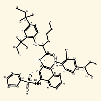 CCCCC(Oc1ccc(C(C)(C)CC)cc1C(C)(C)CC)C(=O)Nc1cc(NS(=O)(=O)c2ccccc2)c2ccccc2c1Nc1ccc(N(CC)CC)cc1C